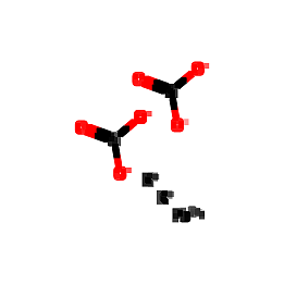 O=[Si]([O-])[O-].O=[Si]([O-])[O-].[K+].[K+].[Pb+2]